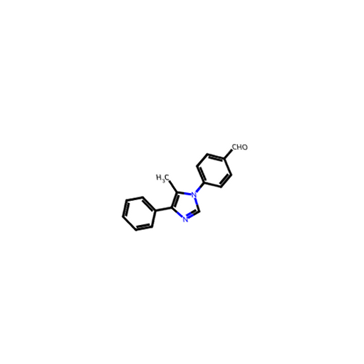 Cc1c(-c2ccccc2)ncn1-c1ccc(C=O)cc1